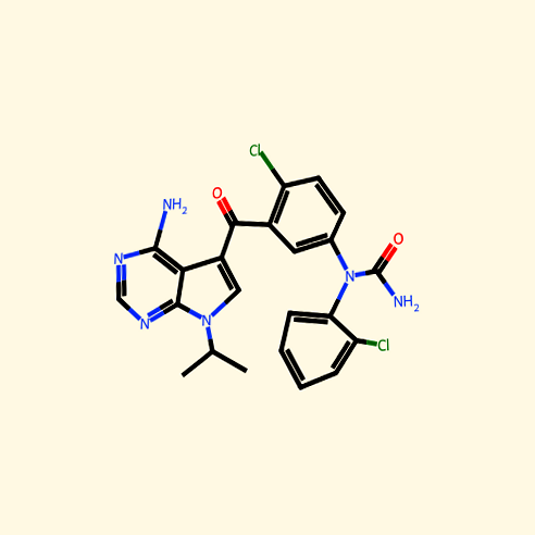 CC(C)n1cc(C(=O)c2cc(N(C(N)=O)c3ccccc3Cl)ccc2Cl)c2c(N)ncnc21